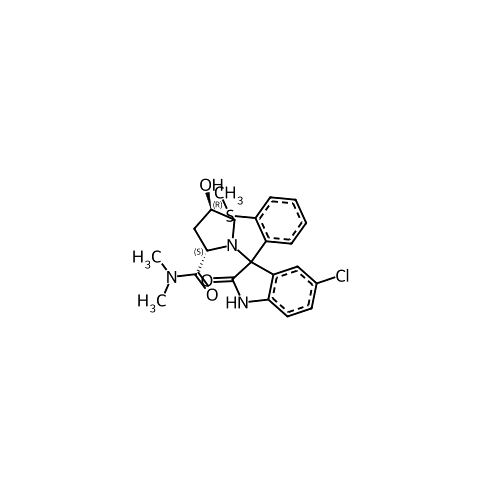 CSc1ccccc1C1(N2C[C@H](O)C[C@H]2C(=O)N(C)C)C(=O)Nc2ccc(Cl)cc21